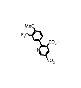 COc1ccc(-c2ncc([N+](=O)[O-])cc2C(=O)O)cc1C(F)(F)F